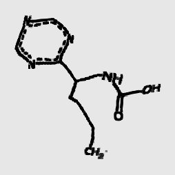 [CH2]CCC(NC(=O)O)c1ncncn1